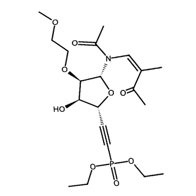 CCOP(=O)(C#C[C@H]1O[C@@H](N(/C=C(/C)C(C)=O)C(C)=O)[C@H](OCCOC)[C@@H]1O)OCC